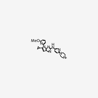 COc1cccc(-n2c(C3CC3)cc3cnc(Nc4ccc(N5CCN(C)CC5)nc4)nc32)n1